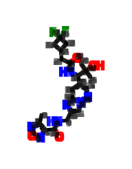 Cc1nonc1C(=O)NCc1cn2ncc(C(NC(=O)CC3CC(F)(F)C3)C(C)(C)O)cc2n1